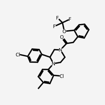 Cc1ccc(N2CCN(C(=O)Cc3ccccc3OC(F)(F)F)CC2c2ccc(Cl)cc2)c(Cl)c1